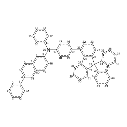 c1ccc(-c2ccc3cc(N(c4ccccc4)c4ccc(-c5cccc6c5-c5ccccc5C6(c5ccccc5)c5ccccc5)cc4)ccc3c2)cc1